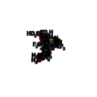 CC(C)(C#Cc1ccc(-c2ccc(Cl)c3c(N(C(=O)N[C@H](CC(=O)O)C(=O)O)S(C)(=O)=O)nn(CC(F)(F)F)c23)c([C@H](Cc2cc(F)cc(F)c2)NC(=O)Cn2nc(C(F)(F)F)c3c2C(F)(F)[C@@H]2C[C@H]32)n1)S(C)(=O)=O